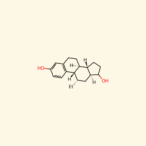 CC[C@H]1C[C@@H]2C(O)CC[C@H]2[C@@H]2CCc3cc(O)ccc3[C@@H]12